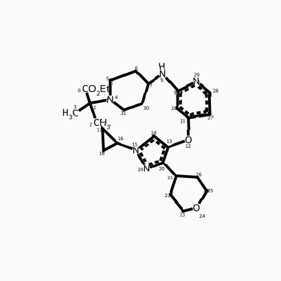 CCOC(=O)C(C)(C)N1CCC(Nc2cc(Oc3cn(C4CC4)nc3C3CCOCC3)ccn2)CC1